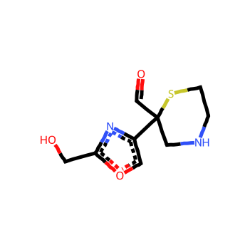 O=CC1(c2coc(CO)n2)CNCCS1